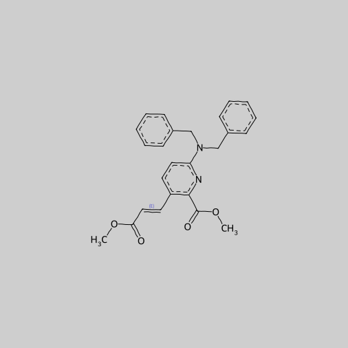 COC(=O)/C=C/c1ccc(N(Cc2ccccc2)Cc2ccccc2)nc1C(=O)OC